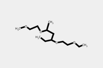 CCOCCOC(CC)CC(C)OCCOC